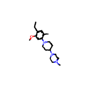 CCc1cc(C)c(N2CCC(N3CCN(C)CC3)CC2)cc1OC